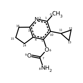 Cc1nc2c(c(OC(N)=O)c1C1CC1)CCC2